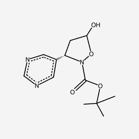 CC(C)(C)OC(=O)N1OC(O)C[C@H]1c1cncnc1